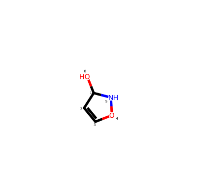 O[C]1C=CON1